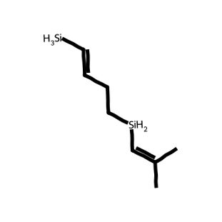 CC(C)=C[SiH2]CCC=C[SiH3]